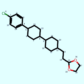 Clc1ccc(C2CCC(C3CCC(CCC4OCCO4)CC3)CC2)cc1